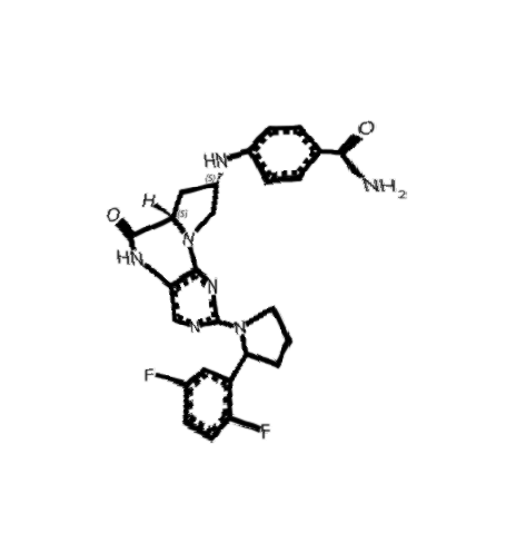 NC(=O)c1ccc(N[C@H]2C[C@H]3C(=O)Nc4cnc(N5CCCC5c5cc(F)ccc5F)nc4N3C2)cc1